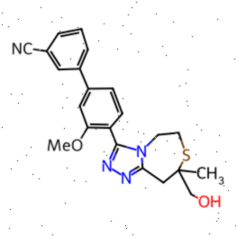 COc1cc(-c2cccc(C#N)c2)ccc1-c1nnc2n1CCSC(C)(CO)C2